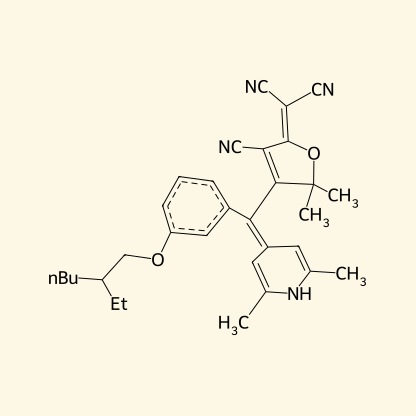 CCCCC(CC)COc1cccc(C(=C2C=C(C)NC(C)=C2)C2=C(C#N)C(=C(C#N)C#N)OC2(C)C)c1